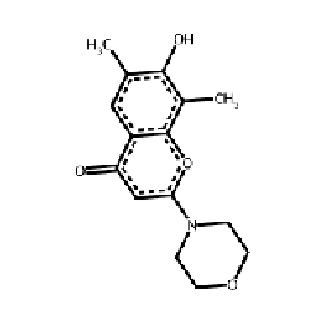 Cc1cc2c(=O)cc(N3CCOCC3)oc2c(C)c1O